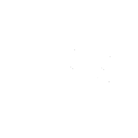 CN1C(O)(O)CC(NC(O)c2ccc(F)cc2)CC1(O)O